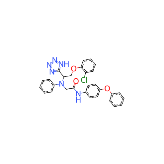 O=C(CN(c1ccccc1)C(COc1ccccc1Cl)c1nnn[nH]1)Nc1ccc(Oc2ccccc2)cc1